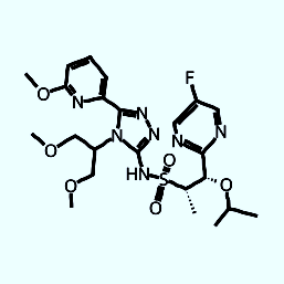 COCC(COC)n1c(NS(=O)(=O)[C@@H](C)[C@@H](OC(C)C)c2ncc(F)cn2)nnc1-c1cccc(OC)n1